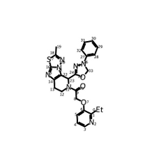 CCc1ncccc1OCC(=O)N1CCc2nc3sc(C)nn3c2C1C1=NN(c2ccccc2)CO1